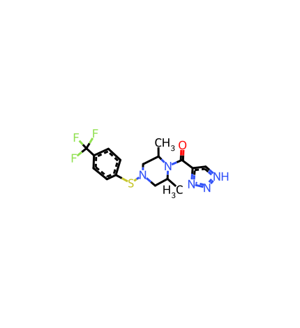 CC1CN(Sc2ccc(C(F)(F)F)cc2)CC(C)N1C(=O)c1c[nH]nn1